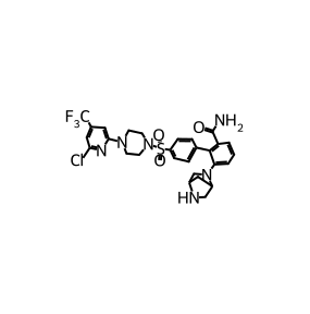 NC(=O)c1cccc(N2CC3CC2CN3)c1-c1ccc(S(=O)(=O)N2CCN(c3cc(C(F)(F)F)cc(Cl)n3)CC2)cc1